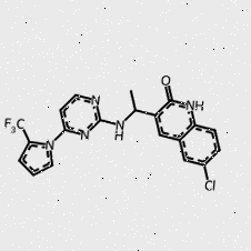 CC(Nc1nccc(-n2cccc2C(F)(F)F)n1)c1cc2cc(Cl)ccc2[nH]c1=O